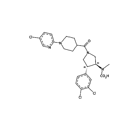 CN(C(=O)O)[C@@H]1CN(C(=O)C2CCN(c3ccc(Cl)cn3)CC2)C[C@H]1c1ccc(Cl)c(Cl)c1